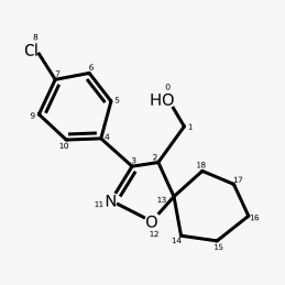 OCC1C(c2ccc(Cl)cc2)=NOC12CCCCC2